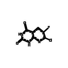 O=c1[nH]c(=O)c2cc(F)c(Cl)nc2[nH]1